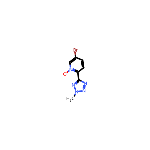 Cn1nnc(-c2ccc(Br)c[n+]2[O-])n1